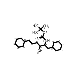 CC(C)(C)OC(=O)NC(CC1CCCCC1)C(O)CCCC1CCCCC1